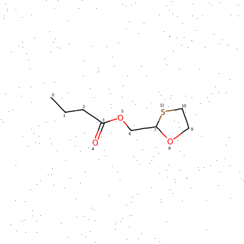 CCCC(=O)OCC1OCCS1